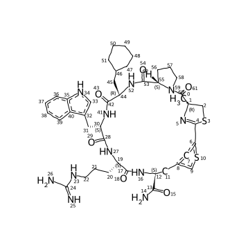 C[C@@]12CSC(=N1)c1cc(cs1)C[C@@H](C(N)=O)NC(=O)[C@H](CCCNC(=N)N)NC(=O)[C@H](Cc1c[nH]c3ccccc13)NC(=O)[C@@H](CC1CCCCC1)NC(=O)[C@@H]1CCCN1C2=O